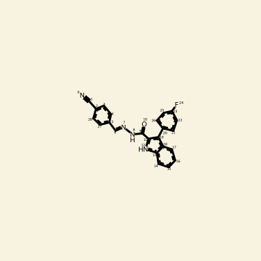 N#Cc1ccc(C=NNC(=O)c2[nH]c3ccccc3c2-c2ccc(F)cc2)cc1